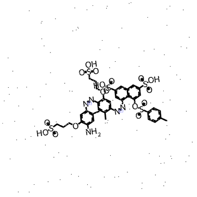 Cc1ccc(S(=O)(=O)Oc2cc(S(=O)(=O)O)cc3cc(S(=O)(=O)O)cc(/N=N\c4cc(OCCCS(=O)(=O)O)c(/N=N\c5cc(OCCCS(=O)(=O)O)c(N)cc5C)cc4C)c23)cc1